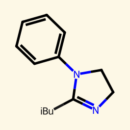 CCC(C)C1=NCCN1c1ccccc1